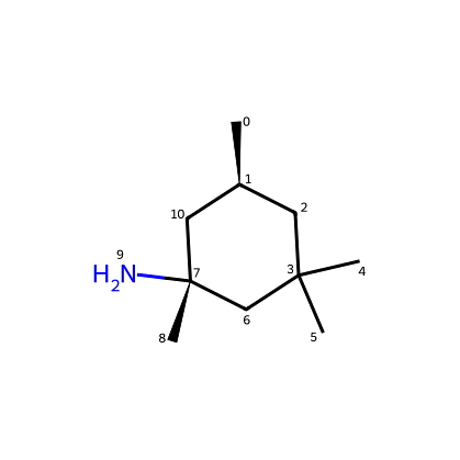 C[C@H]1CC(C)(C)C[C@](C)(N)C1